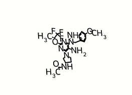 COc1ccc(CN(N)c2nc(O[C@@H](C)C(F)(F)F)nc(N3CC[C@H](NC(C)=O)C3)c2N)cc1